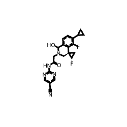 N#Cc1cnc(NC(=O)CN2C[C@]3(C[C@@H]3F)c3c(ccc(C4CC4)c3F)C2O)nc1